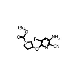 CC(C)(C)OC(=O)N1CC[C@H](Oc2nc(C#N)c(N)cc2F)C1